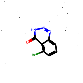 O=c1[nH]nnc2cccc(Br)c12